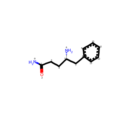 NC(=O)CC[C@H](N)Cc1ccccc1